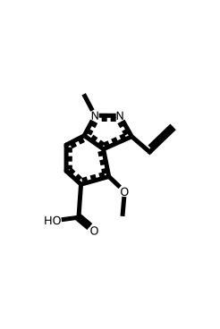 C=Cc1nn(C)c2ccc(C(=O)O)c(OC)c12